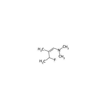 C/C(=C/N(C)C)C(C)F